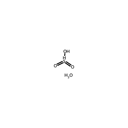 O.O=[SH](=O)O